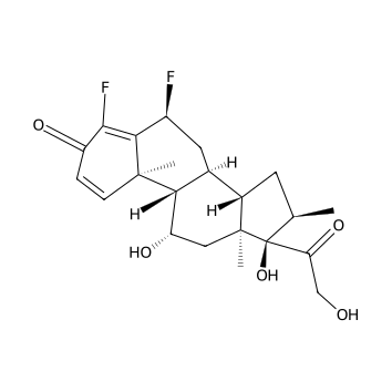 C[C@@H]1C[C@H]2[C@@H]3C[C@H](F)C4=C(F)C(=O)C=C[C@]4(C)[C@H]3[C@@H](O)C[C@]2(C)[C@@]1(O)C(=O)CO